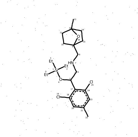 CC[Si](CC)(CC)OC(CNCC12CCC(C)(CC1)O2)c1c(Cl)cc(C)cc1Cl